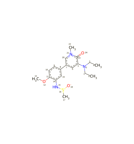 CCN(CC)c1cc(-c2ccc(OC)c(N[S+](C)[O-])c2)cn(C)c1=O